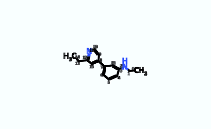 CCNc1cccc(-c2ccnc(CC)c2)c1